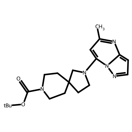 Cc1cc(N2CCC3(CCN(C(=O)OC(C)(C)C)CC3)C2)n2nccc2n1